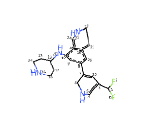 FC(F)C1=CNCC(c2cc(NC3CCNCC3)c3c(c2)=CCNC=3)=C1